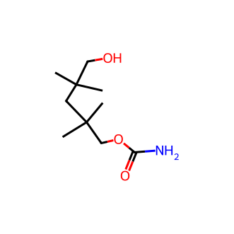 CC(C)(CO)CC(C)(C)COC(N)=O